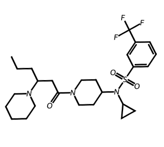 CCCC(CC(=O)N1CCC(N(C2CC2)S(=O)(=O)c2cccc(C(F)(F)F)c2)CC1)N1CCCCC1